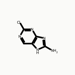 Nc1nc2nc(Cl)ncc2[nH]1